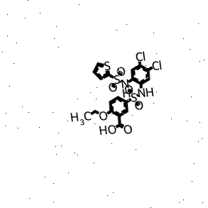 CCOc1ccc(S(=O)(=O)Nc2cc(Cl)c(Cl)cc2NS(=O)(=O)c2cccs2)cc1C(=O)O